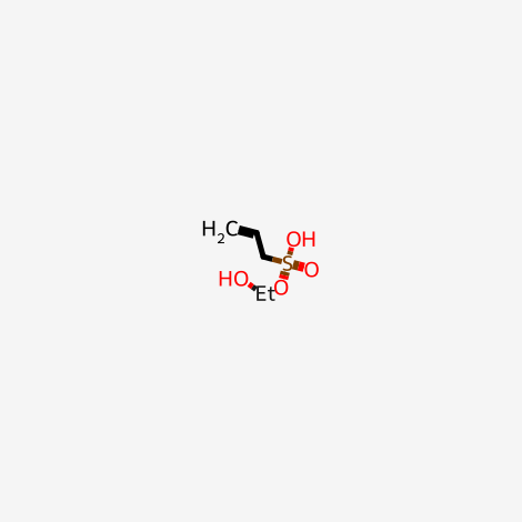 C=CCS(=O)(=O)O.CCO